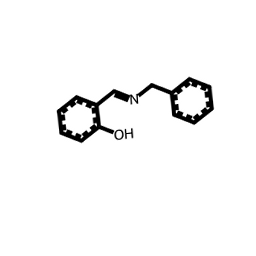 Oc1ccccc1/C=N/Cc1ccccc1